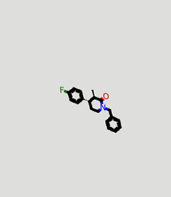 C[C@H]1C(=O)N(Cc2ccccc2)CC[C@@H]1c1ccc(F)cc1